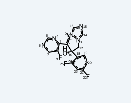 C/C=C(\c1ncncc1F)[C@](O)(Cn1cncn1)c1ccc(F)cc1F